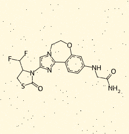 NC(=O)CNc1ccc2c(c1)OCCn1cc(N3C(=O)SCC3C(F)F)nc1-2